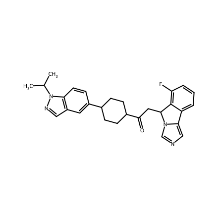 CC(C)n1ncc2cc(C3CCC(C(=O)CC4c5c(F)cccc5-c5cncn54)CC3)ccc21